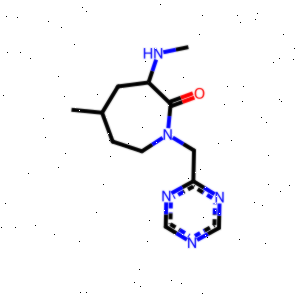 CNC1CC(C)CCN(Cc2ncncn2)C1=O